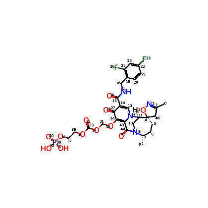 CC1=NO[C@@]2(CC[C@H](C)N3C[C@H]2n2cc(C(=O)NCc4ccc(F)cc4F)c(=O)c(OCOC(=O)OCCOP(=O)(O)O)c2C3=O)C1